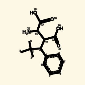 CC(C)(C)C(c1ccccc1)C(C(=O)O)C(N)C(=O)O